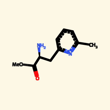 COC(=O)[C@@H](N)Cc1cccc(C)n1